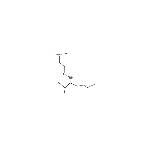 CCCCC(NOCCN(C)C)C(C)C